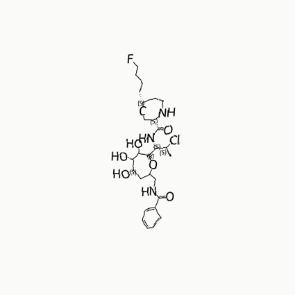 C[C@H](Cl)[C@@H](NC(=O)[C@@H]1CC[C@H](CCCCF)CCN1)[C@H]1OC(CNC(=O)c2ccccc2)C[C@H](O)C(O)C1O